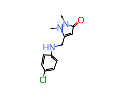 Cn1c(CNc2ccc(Cl)cc2)cc(=O)n1C